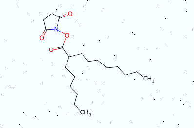 CCCCCCCCC(CCCCCC)C(=O)ON1C(=O)CCC1=O